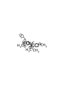 COc1ccc(N(C(C)C)S(=O)(=O)c2ccc(OCC3CCOCC3)c(S(C)(=N)=O)c2)c(C)c1